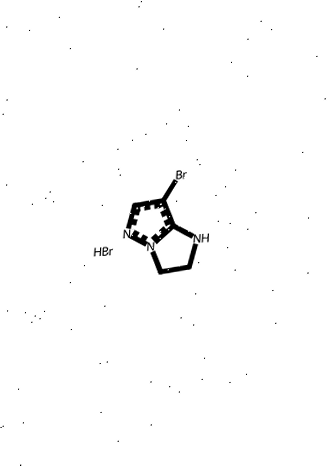 Br.Brc1cnn2c1NCC2